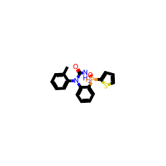 Cc1ccccc1N(C(N)=O)c1ccccc1[PH](=O)c1cccs1